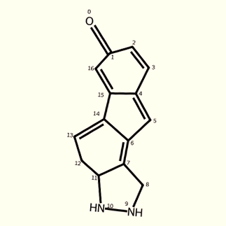 O=C1C=CC2=CC3=C4CNNC4CC=C3C2=C1